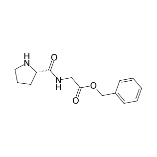 O=C(CNC(=O)[C@@H]1CCCN1)OCc1ccccc1